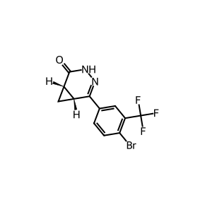 O=C1NN=C(c2ccc(Br)c(C(F)(F)F)c2)[C@@H]2C[C@H]12